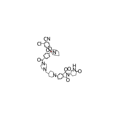 N#Cc1ccc(OC2CC3CCC(C2)N3C(=O)c2ccc(C(=O)N3CCN(CC4CCN(c5ccc6c(c5)C(=O)N(C5CCC(=O)NC5=O)C6=O)CC4)CC3)cc2)cc1Cl